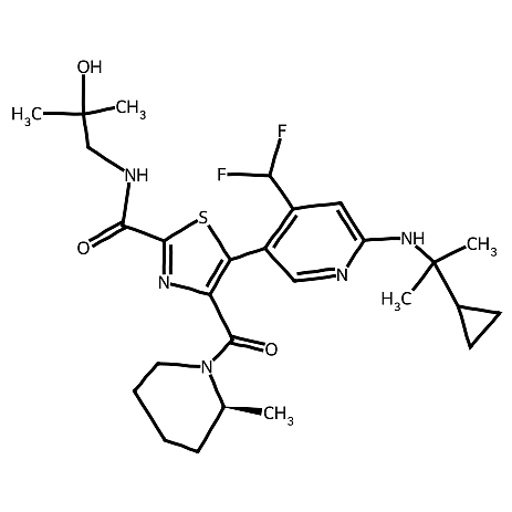 C[C@H]1CCCCN1C(=O)c1nc(C(=O)NCC(C)(C)O)sc1-c1cnc(NC(C)(C)C2CC2)cc1C(F)F